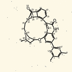 Cc1cc(C)nc(-c2cc3c4nc(c(=O)[nH]c4c2)-c2cccc4c(=O)n([nH]c24)CCN2CC(C[C@H]2C)O3)n1